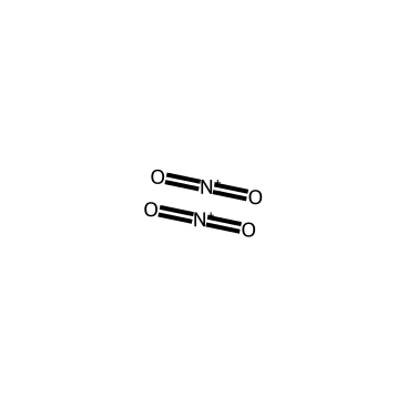 O=[N+]=O.O=[N+]=O